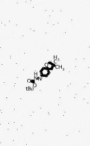 CC1(C)COC2(CCC(=NNC(=O)OC(C)(C)C)CC2)C1